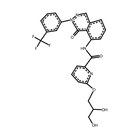 O=C(Nc1cccc2cnn(-c3cccc(C(F)(F)F)c3)c(=O)c12)c1cccc(OCC(O)CO)n1